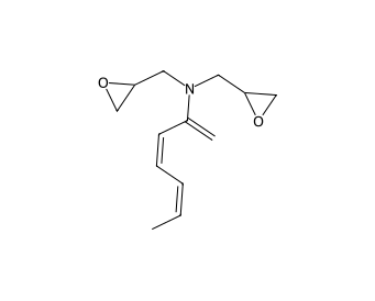 C=C(/C=C\C=C/C)N(CC1CO1)CC1CO1